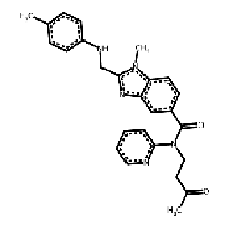 CC(=O)CCN(C(=O)c1ccc2c(c1)nc(CNc1ccc(C)cc1)n2C)c1ccccn1